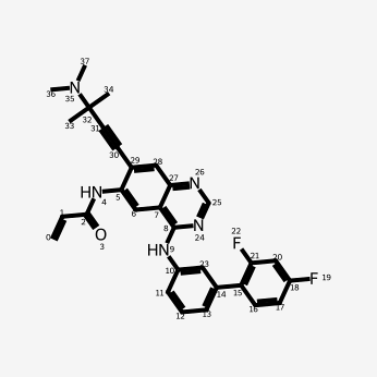 C=CC(=O)Nc1cc2c(Nc3cccc(-c4ccc(F)cc4F)c3)ncnc2cc1C#CC(C)(C)N(C)C